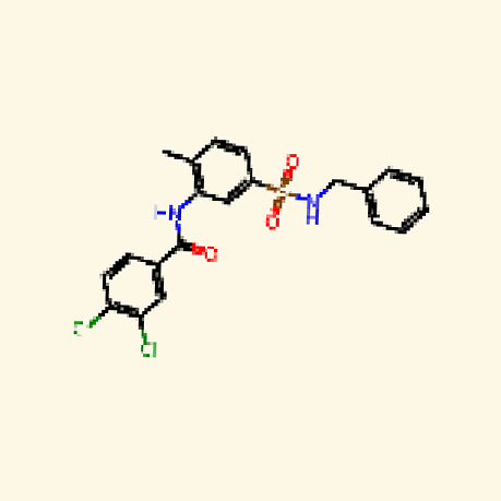 Cc1ccc(S(=O)(=O)NCc2ccccc2)cc1NC(=O)c1ccc(Cl)c(Cl)c1